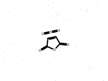 O=C1C=CC(=O)O1.[O]=[Ti]=[O]